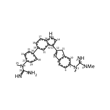 CNC(=N)N(C)c1ccc2c(c1)CC(c1c[nH]c3ccc(-c4ccc(N(C)C(=N)N)cc4)cc13)=N2